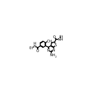 CCNC(=O)c1ccc(C)c(-c2nc(N)nc3c2CC(C(=O)NCC)S3)c1